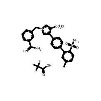 CCOC(=O)c1cn(Cc2cccc(C(=N)N)c2)cc1-c1ccc(-c2cc(C)ccc2S(N)(=O)=O)cc1.O=C(O)C(F)(F)F